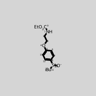 CCOC(=O)NCCOc1ccc([S+]([O-])C(C)CC)cc1